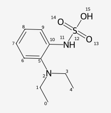 CCN(CC)c1ccccc1NS(=O)(=O)O